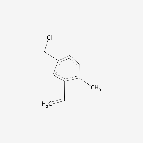 C=Cc1cc(CCl)ccc1C